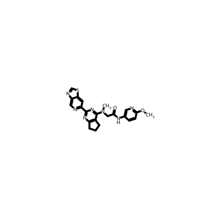 COc1ccc(NC(=O)CN(C)c2nc(-c3cc4scnc4cn3)nc3c2CCC3)cn1